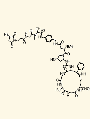 CCC(C)C1NC(=O)CNC(=O)C(NC(=O)NC2CC(O)CN2C(=O)C(CC(=O)NCc2ccc(NC(=O)[C@H](C)NC(=O)CNC(=O)CCN3C(=O)CC(S)C3=O)cc2)NC)Cc2c([nH]c3ccccc23)SCC(C=O)NC(=O)CNC1=O